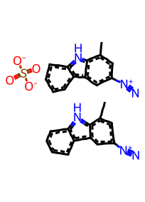 Cc1cc([N+]#N)cc2c1[nH]c1ccccc12.Cc1cc([N+]#N)cc2c1[nH]c1ccccc12.O=S(=O)([O-])[O-]